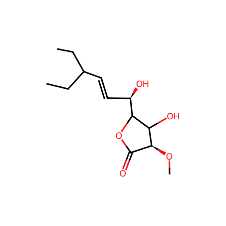 CCC(/C=C/[C@@H](O)C1OC(=O)[C@H](OC)C1O)CC